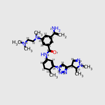 C=C(N)c1cc(C(=O)NC2=CCC(C)C(n3cc(C4C=NN(C)C4C)nn3)=C2)cc(N(C)CCN(C)C)c1